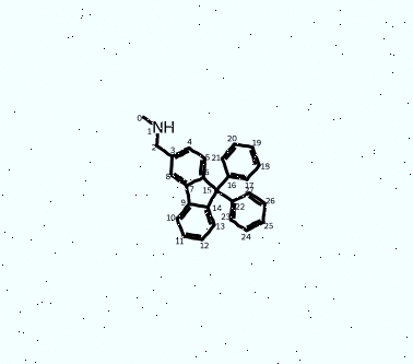 CNCc1ccc2c(c1)-c1ccccc1C2(c1ccccc1)c1ccccc1